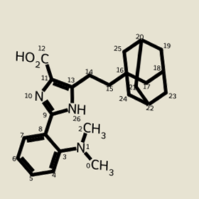 CN(C)c1ccccc1-c1nc(C(=O)O)c(CCC23CC4CC(CC(C4)C2)C3)[nH]1